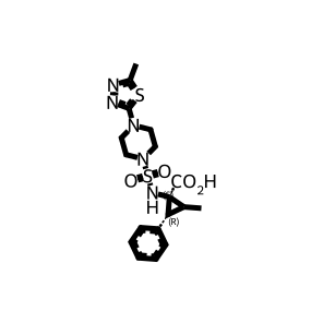 Cc1nnc(N2CCN(S(=O)(=O)N[C@@]3(C(=O)O)C(C)[C@@H]3c3ccccc3)CC2)s1